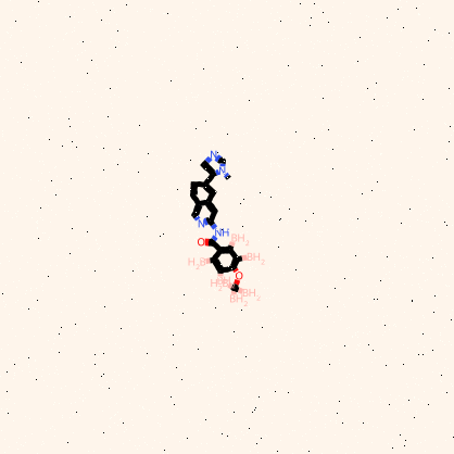 Bc1c(B)c(C(=O)Nc2cc3cc(-c4cncn4C)ccc3cn2)c(B)c(B)c1OC(B)(B)B